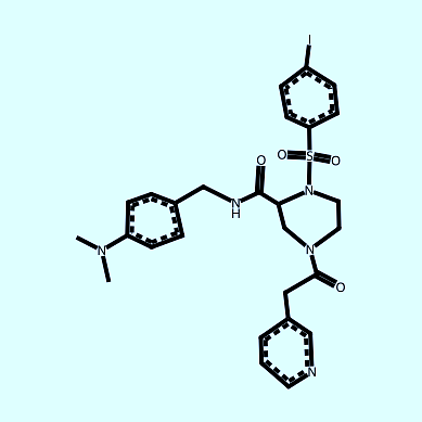 CN(C)c1ccc(CNC(=O)C2CN(C(=O)Cc3cccnc3)CCN2S(=O)(=O)c2ccc(I)cc2)cc1